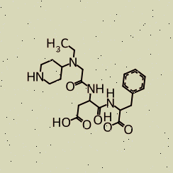 CCN(CC(=O)NC(CC(=O)O)C(=O)NC(Cc1ccccc1)C(=O)O)C1CCNCC1